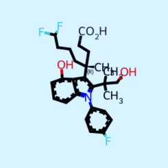 CC(C)(CO)c1c([C@](C)(CCCC(F)F)CCC(=O)O)c2c(O)cccc2n1-c1ccc(F)cc1